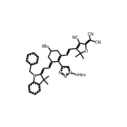 CCCCCCn1cc(C2=C(C=CC3=C(C#N)C(=C(C#N)C#N)OC3(C)C)CC(C(C)(C)C)CC2=CC=C2N(Cc3ccccc3)c3ccccc3C2(C)C)nn1